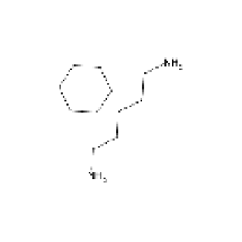 C1CCCCC1.NCCCCCN